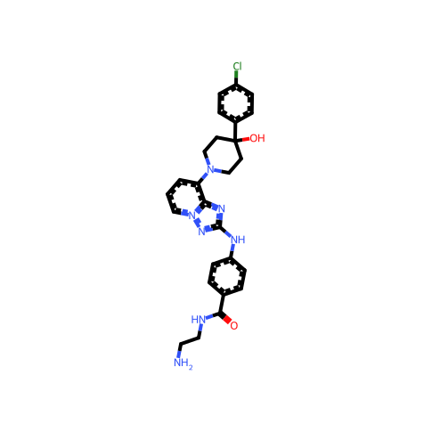 NCCNC(=O)c1ccc(Nc2nc3c(N4CCC(O)(c5ccc(Cl)cc5)CC4)cccn3n2)cc1